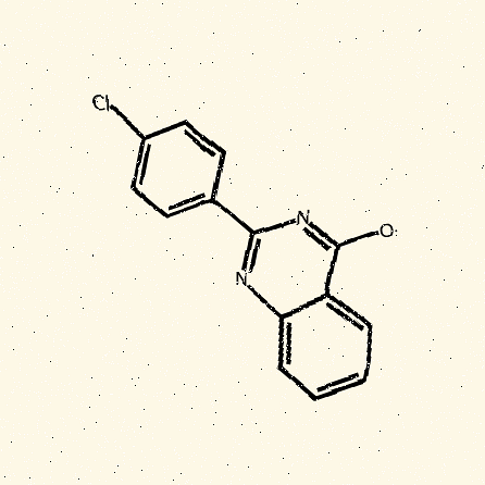 [O]c1nc(-c2ccc(Cl)cc2)nc2ccccc12